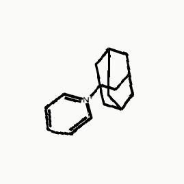 c1cc[n+](C23CC4CC(CC(C4)C2)C3)cc1